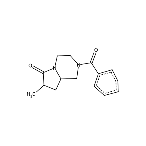 CC1CC2CN(C(=O)c3ccccc3)CCN2C1=O